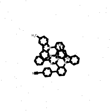 Cc1ccc2c(c1)c1ccccc1n2-c1cccc(C#N)c1-c1nc(-c2ccccc2)nc(-c2c(-c3ccc(C#N)cc3)cccc2-n2c3ccccc3c3cc(C)ccc32)n1